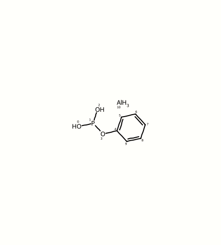 OP(O)Oc1ccccc1.[AlH3]